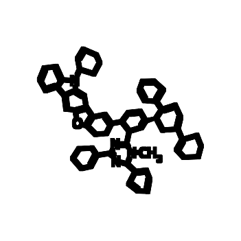 CN1C(C2C=C([C@@H]3CC(C4=CCCCC4)=CC=C3c3ccccc3)C=CC2C2=Cc3c(oc4cc5c6ccccc6n(C6C=CCCC6)c5cc34)CC2)=NC(C2=CCCCC2)=NC1c1ccccc1